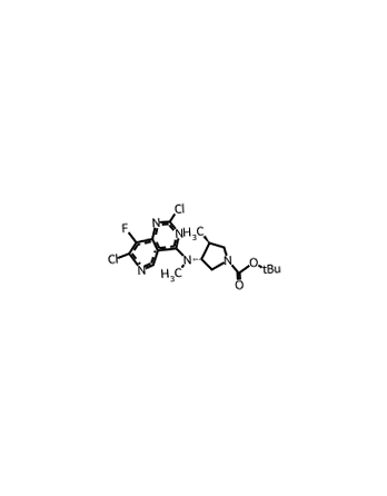 C[C@H]1CN(C(=O)OC(C)(C)C)C[C@@H]1N(C)c1nc(Cl)nc2c(F)c(Cl)ncc12